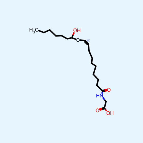 CCCCCCC(O)C/C=C\CCCCCCCC(=O)NCC(=O)O